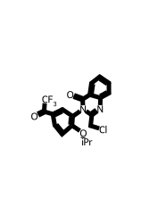 CC(C)Oc1ccc(C(=O)C(F)(F)F)cc1-n1c(CCl)nc2ccccc2c1=O